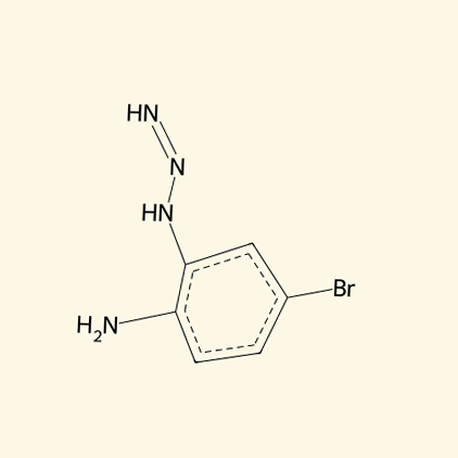 N=NNc1cc(Br)ccc1N